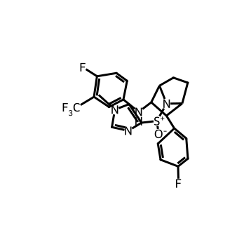 Cn1cnc([S+]([O-])N2C3CCC2C(c2ccc(F)cc2)C3Nc2ccc(F)c(C(F)(F)F)c2)c1